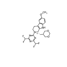 COc1ccc2[nH]c3c(c2c1)CCN(c1nc(C(F)F)nc(C(F)F)n1)[C@H]3CC1COCOC1